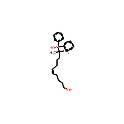 CC(C)(CCC/C=C\CCCCO)[Si](O)(c1ccccc1)c1ccccc1